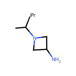 CC(C)C(C)N1CC(N)C1